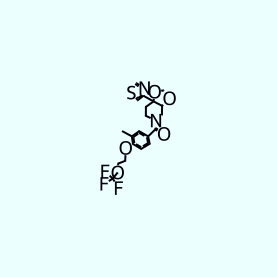 Cc1cc(C(=O)N2CCC3(c4cscn4)OCOC3C2)ccc1OCCOC(F)(F)F